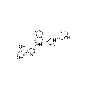 CCC(CC)N1CC(c2nc(-c3cnn([C@H]4COC[C@@H]4O)c3)cn3nccc23)C=N1